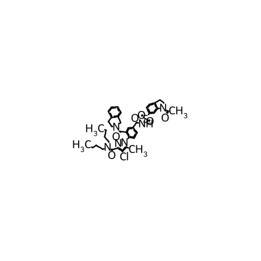 CCCCN(CCCC)C(=O)c1nn(-c2ccc(C(=O)NS(=O)(=O)c3ccc4c(c3)N(C(C)=O)CC4)cc2C(=O)N2CCc3ccccc3C2)c(C)c1Cl